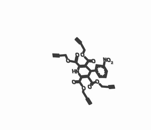 C#CCOC(=O)C1=C(C(=O)OCC#C)C(c2cccc([N+](=O)[O-])c2)C(C(=O)OCC#C)=C(C(=O)OCC#C)N1